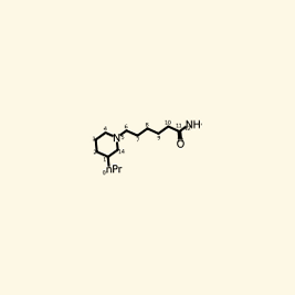 CCCC1CCCN(CCCCCC([NH])=O)C1